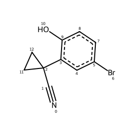 N#CC1(c2cc(Br)ccc2O)CC1